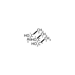 CC(=O)O.CC(=O)O.CC(=O)O.[Au]